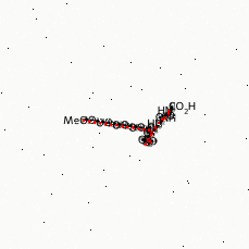 COCCOCCOCCOCCOCCOCCOCCOCCS(=O)(=O)N(CCCNCC(=O)NCC(=O)NCC(=O)O)CCN1C(=O)C=CC1=O